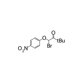 CC(C)(C)C(=O)C(Br)Oc1ccc([N+](=O)[O-])cc1